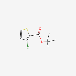 CC(C)(C)OC(=O)c1sccc1Cl